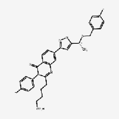 C[C@@H](OCc1ccc(F)cc1)c1cc(-c2ccc3c(=O)n(-c4ccc(F)cc4)c(CCCCC(=O)O)nc3c2)no1